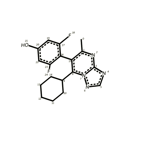 Cc1nc2ncnn2c(C2CCCCC2)c1-c1c(F)cc(O)cc1F